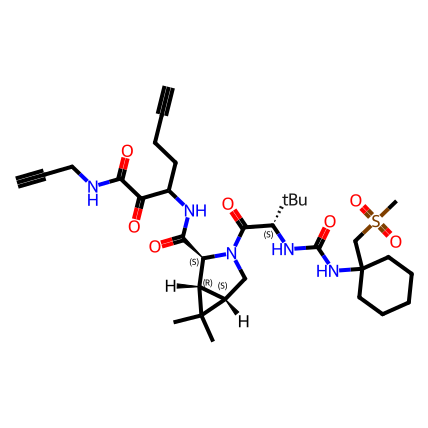 C#CCCC(NC(=O)[C@@H]1[C@@H]2[C@H](CN1C(=O)[C@@H](NC(=O)NC1(CS(C)(=O)=O)CCCCC1)C(C)(C)C)C2(C)C)C(=O)C(=O)NCC#C